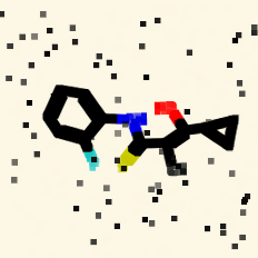 N#CC(C(=S)Nc1ccccc1F)=C(O)C1CC1